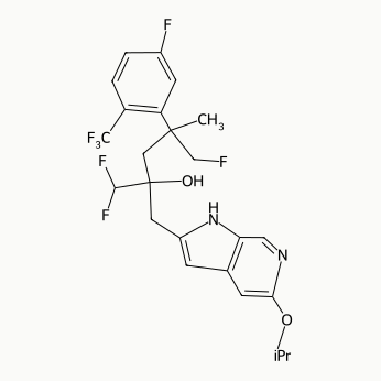 CC(C)Oc1cc2cc(CC(O)(CC(C)(CF)c3cc(F)ccc3C(F)(F)F)C(F)F)[nH]c2cn1